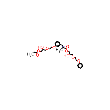 C=CC(=O)OCC(O)COCCOc1cccc(/C=C(\C)C(=O)OCC(O)COCCOc2ccccc2)c1